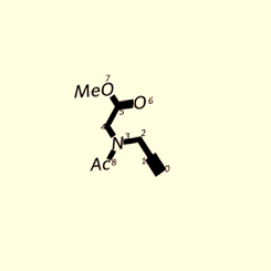 C#CCN(CC(=O)OC)C(C)=O